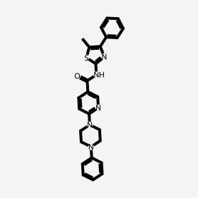 Cc1sc(NC(=O)c2ccc(N3CCN(c4ccccc4)CC3)nc2)nc1-c1ccccc1